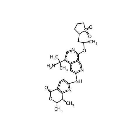 C[C@H](C[C@H]1CCCS1(=O)=O)Oc1ncc(C(C)(C)N)c2cc(Nc3ccc4c(n3)[C@@H](C)[C@H](C)OC4=O)ncc12